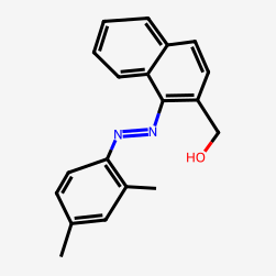 Cc1ccc(N=Nc2c(CO)ccc3ccccc23)c(C)c1